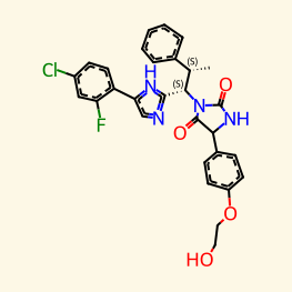 C[C@@H](c1ccccc1)[C@@H](c1ncc(-c2ccc(Cl)cc2F)[nH]1)N1C(=O)NC(c2ccc(OCCO)cc2)C1=O